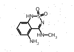 CNC1=NS(=O)(=O)Nc2cccc(N)c21